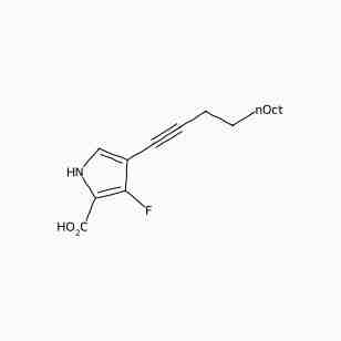 CCCCCCCCCCC#Cc1c[nH]c(C(=O)O)c1F